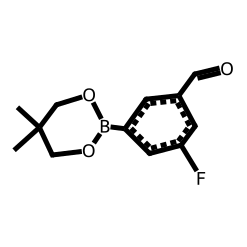 CC1(C)COB(c2cc(F)cc(C=O)c2)OC1